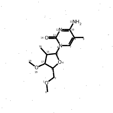 COCC1OC(n2cc(C)c(N)nc2=O)C(C)C1OC